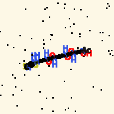 CC(=O)N(O)CCCCCNC(=O)CCC(=O)NCCCCCCNC(=O)CCC(=O)NCCCCCNC(=S)Nc1ccc(N=C=S)cc1